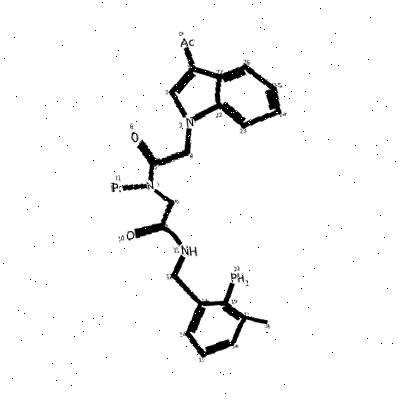 CC(=O)c1cn(CC(=O)N(CC(=O)NCc2cccc(C)c2P)C(C)C)c2ccccc12